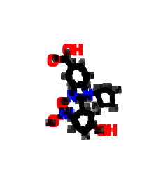 O=C(O)c1ccc2c(c1)nc(-c1cc(O)ccc1[N+](=O)[O-])n2C1CCCC1